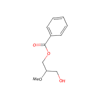 COC(CO)COC(=O)c1ccccc1